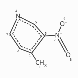 Cc1c[c]ncc1[N+](=O)[O-]